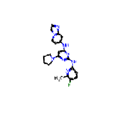 Cc1nc(Nc2nc(Nc3ccn4ccnc4c3)cc(N3CCCCC3)n2)ccc1F